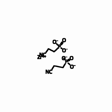 N#CCCP(=O)([O-])[O-].N#CCCP(=O)([O-])[O-].[Zr+4]